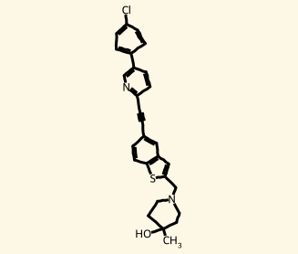 CC1(O)CCN(Cc2cc3cc(C#Cc4ccc(-c5ccc(Cl)cc5)cn4)ccc3s2)CC1